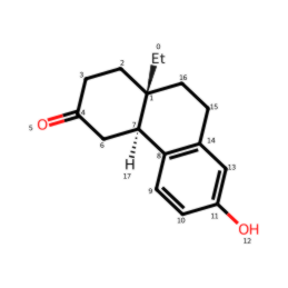 CC[C@]12CCC(=O)C[C@@H]1c1ccc(O)cc1CC2